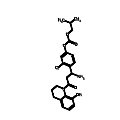 CC(C)COC(=O)Oc1ccc(C(N)CC(=O)N2CCCc3cccc(O)c32)c(Cl)c1